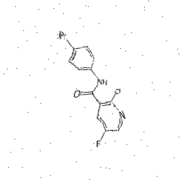 CC(C)c1ccc(NC(=O)c2cc(F)cnc2Cl)cc1